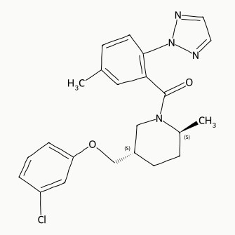 Cc1ccc(-n2nccn2)c(C(=O)N2C[C@@H](COc3cccc(Cl)c3)CC[C@@H]2C)c1